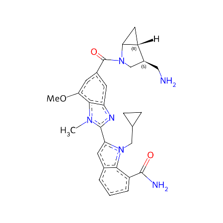 COc1cc(C(=O)N2C[C@H](CN)[C@H]3CC32)cc2nc(-c3cc4cccc(C(N)=O)c4n3CC3CC3)n(C)c12